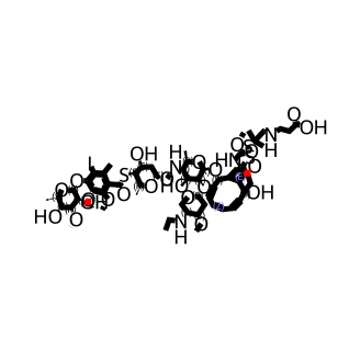 CCN[C@H]1CO[C@@H](O[C@H]2[C@H](O[C@H]3C#C/C=C\C#C[C@]4(O)CC(=O)C(NC(=O)OC)=C3/C4=C\CSSC(C)(C)CNCCC(=O)O)O[C@H](C)[C@@H](NO[C@H]3C[C@H](O)[C@H](SC(=O)c4c(C)c(I)c(O[C@@H]5O[C@@H](C)[C@H](O)[C@@H](OC)[C@H]5O)c(OC)c4OC)[C@@H](C)O3)[C@@H]2O)C[C@@H]1OC